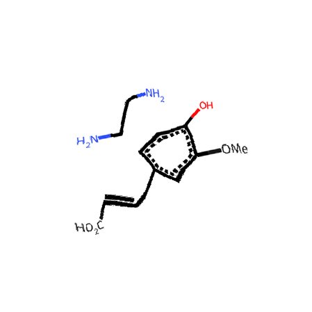 COc1cc(C=CC(=O)O)ccc1O.NCCN